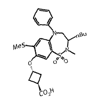 CCCCC1CN(c2ccccc2)c2cc(SC)c(O[C@H]3C[C@H](C(=O)O)C3)cc2S(=O)(=O)N1C